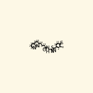 Cc1cc(-c2nnc(CNC(=O)CCCc3ccc4cccnc4n3)s2)ccc1F